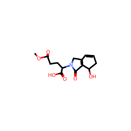 COC(=O)CCC(C(=O)O)N1CC2=C(C1=O)C(O)CC=C2